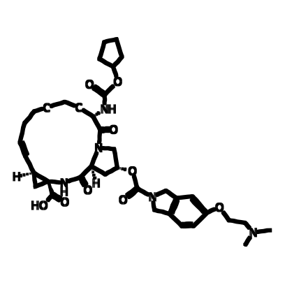 CN(C)CCOc1ccc2c(c1)CN(C(=O)O[C@@H]1C[C@H]3C(=O)N[C@]4(C(=O)O)C[C@H]4/C=C\CCCCC[C@H](NC(=O)OC4CCCC4)C(=O)N3C1)C2